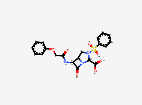 O=C(COc1ccccc1)N[C@@H]1C(=O)N2C1CN(S(=O)(=O)c1ccccc1)C2C(=O)O